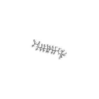 CO[Si](CC(F)C(F)(F)C(F)(F)C(F)(F)C(F)(F)C(F)(F)C(F)(F)C(F)C(F)C(F)F)(OC)OC